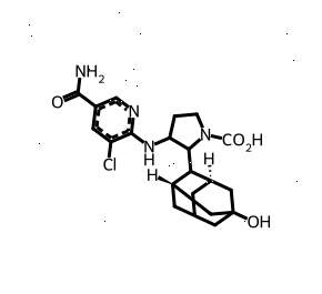 NC(=O)c1cnc(NC2CCN(C(=O)O)C2C2[C@@H]3CC4C[C@H]2CC(O)(C4)C3)c(Cl)c1